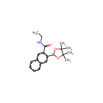 CCNC(=O)c1cc2ccccc2cc1B1OC(C)(C)C(C)(C)O1